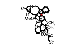 CCC1=C[C@@H]2CN(CCc3c([nH]c4ccccc34)[C@@](C(=O)OC)(c3cc4c(cc3OC)N(C)[C@H]3C(O)(COC(=O)CC(C)C)[C@H](OC(C)=O)[C@]5(CC)C=CCN6CC[C@]43C65)C2)C1